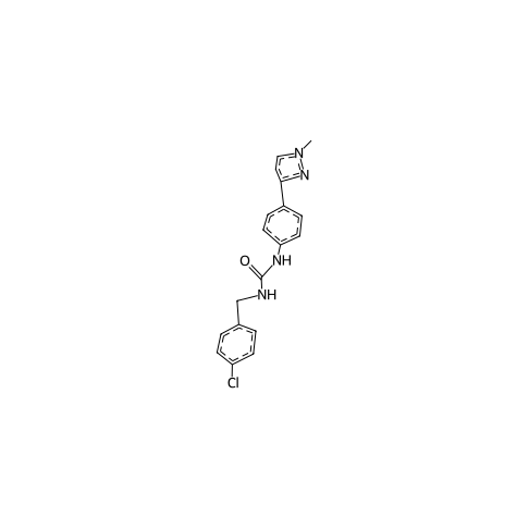 Cn1ccc(-c2ccc(NC(=O)NCc3ccc(Cl)cc3)cc2)n1